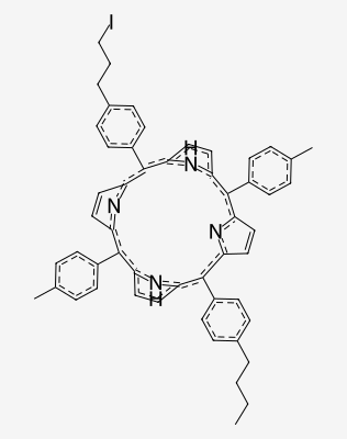 CCCCc1ccc(-c2c3nc(c(-c4ccc(C)cc4)c4ccc([nH]4)c(-c4ccc(CCCI)cc4)c4nc(c(-c5ccc(C)cc5)c5ccc2[nH]5)C=C4)C=C3)cc1